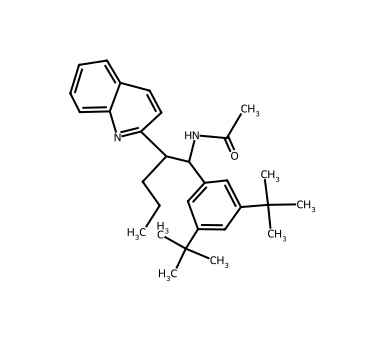 CCCC(c1ccc2ccccc2n1)C(NC(C)=O)c1cc(C(C)(C)C)cc(C(C)(C)C)c1